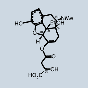 CC[C@]12c3c4ccc(O)c3O[C@H]1C(OC(=O)C[C@H](O)C(=O)O)=CC[C@@]2(O)[C@H](NC)C4